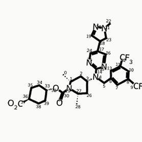 C[C@@H]1C[C@H](N(Cc2cc(C(F)(F)F)cc(C(F)(F)F)c2)c2ncc(C3C=NN(C)C3)cn2)C[C@H](C)N1C(=O)O[C@H]1CC[C@H](C(=O)O)CC1